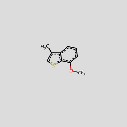 Cc1[c]sc2c(OC(F)(F)F)cccc12